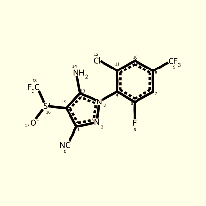 N#Cc1nn(-c2c(F)cc(C(F)(F)F)cc2Cl)c(N)c1[S+]([O-])C(F)(F)F